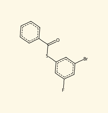 O=C(Sc1cc(F)cc(Br)c1)c1ccccc1